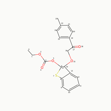 CCOC(=O)Oc1sc2ccccc2c1OCC(=O)c1ccc(C)cc1